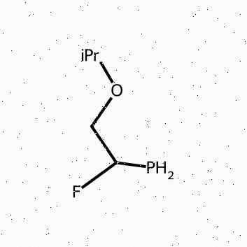 CC(C)OCC(F)P